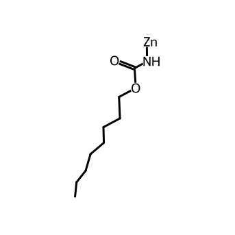 CCCCCCCCOC(=O)[NH][Zn]